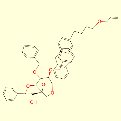 C=CCOCCCCc1ccc(Cc2cc([C@]34OC[C@@](C(C)O)(O3)[C@@H](OCc3ccccc3)[C@H](OCc3ccccc3)[C@H]4OCc3ccccc3)ccc2C)cc1